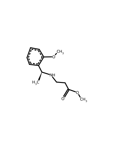 COC(=O)CCN[C@@H](C)c1ccccc1OC